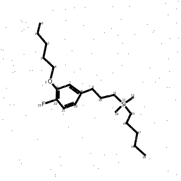 CCCCCOc1cc(CCC[Si](C)(C)CCCCC)ccc1F